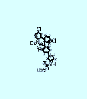 CCN1C(=O)N(c2c(F)cc(N3CC[C@@H](NC(=O)OC(C)(C)C)C3)cc2F)c2cc(Cl)ccc2-c2cc(Cl)cnc21